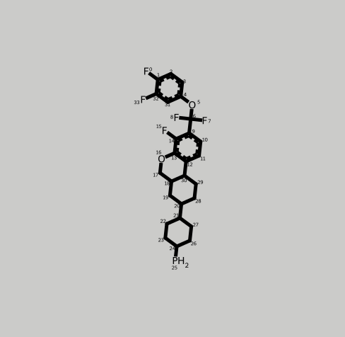 Fc1ccc(OC(F)(F)c2ccc3c(c2F)OCC2CC(C4CCC(P)CC4)CCC32)cc1F